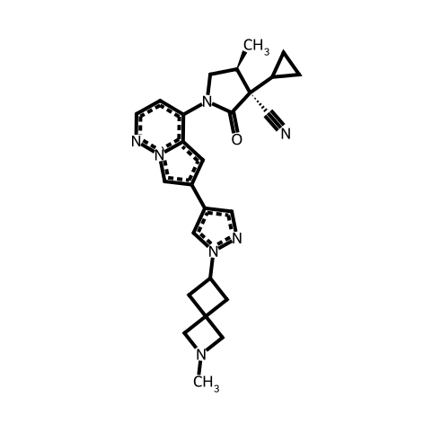 C[C@@H]1CN(c2ccnn3cc(-c4cnn(C5CC6(C5)CN(C)C6)c4)cc23)C(=O)[C@]1(C#N)C1CC1